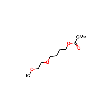 CCOCCOCCCCOC(=O)OC